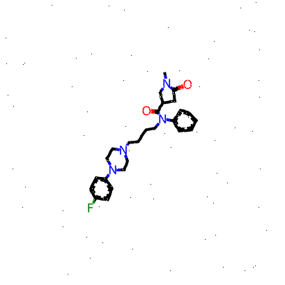 CN1CC(C(=O)N(CCCCN2CCN(c3ccc(F)cc3)CC2)c2ccccc2)CC1=O